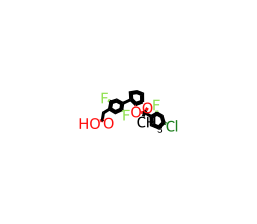 CC1(c2ccc(Cl)cc2F)Oc2cccc(-c3cc(F)c(CC(=O)O)cc3F)c2O1